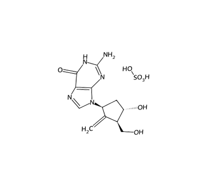 C=C1[C@H](CO)[C@@H](O)C[C@@H]1n1cnc2c(=O)[nH]c(N)nc21.O=S(=O)(O)O